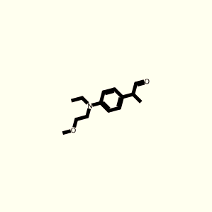 CCN(CCOC)c1ccc(C(C)C=O)cc1